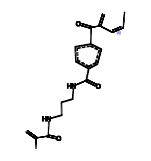 C=C(C)C(=O)NCCCNC(=O)c1ccc(C(=O)C(=C)/C=C\C)cc1